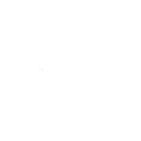 C=C(OCC)C1C(C)(C)CCCC1(C)C